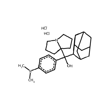 CN(C)c1ccc(C(O)(C2C3CC4CC(C3)CC2C4)C23CCCN2CCC3)cc1.Cl.Cl